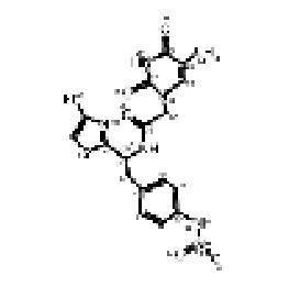 CCc1csc([C@H](Cc2ccc(N[SH](=O)=O)cc2)NC(=O)Cn2cc(C)c(=O)[nH]c2=O)n1